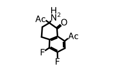 CC(=O)c1cc(F)c(F)c2c1C(=O)C(N)(C(C)=O)CC2